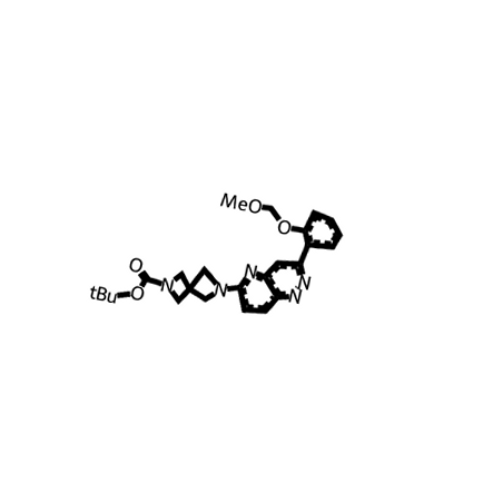 COCOc1ccccc1-c1cc2nc(N3CC4(CN(C(=O)OC(C)(C)C)C4)C3)ccc2nn1